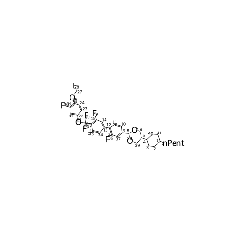 CCCCCC1CCC(C2COC(c3ccc(-c4cc(F)c(C(F)(F)Oc5ccc(OCF)c(F)c5)c(F)c4)c(F)c3)OC2)CC1